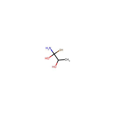 CC(O)C(N)(O)S